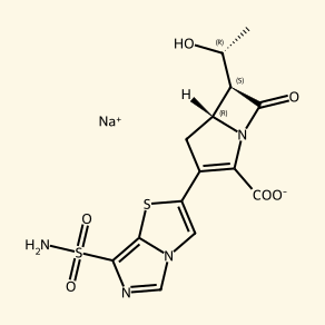 C[C@@H](O)[C@H]1C(=O)N2C(C(=O)[O-])=C(c3cn4cnc(S(N)(=O)=O)c4s3)C[C@H]12.[Na+]